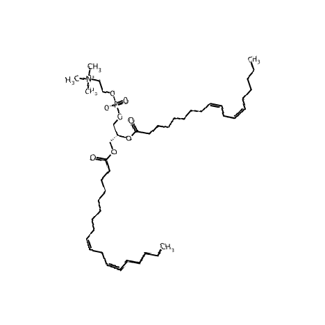 CCCCC/C=C\C/C=C\CCCCCCCC(=O)OC[C@H](COP(=O)([O-])OCC[N+](C)(C)C)OC(=O)CCCCCCC/C=C\C/C=C\CCCCC